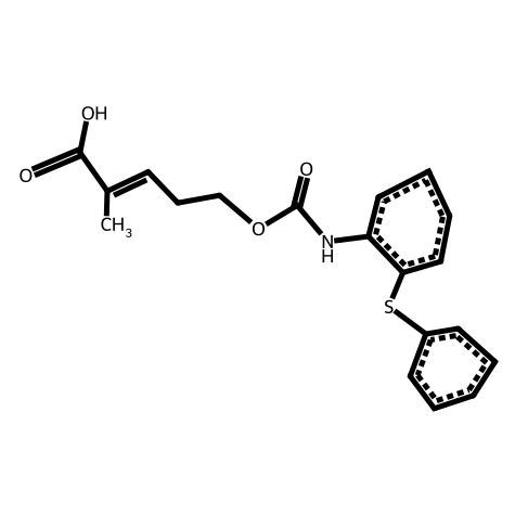 C/C(=C\CCOC(=O)Nc1ccccc1Sc1ccccc1)C(=O)O